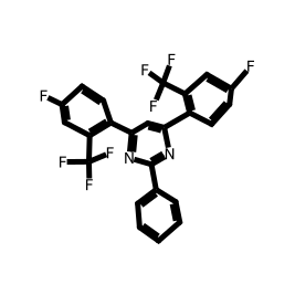 Fc1ccc(-c2cc(-c3ccc(F)cc3C(F)(F)F)nc(-c3ccccc3)n2)c(C(F)(F)F)c1